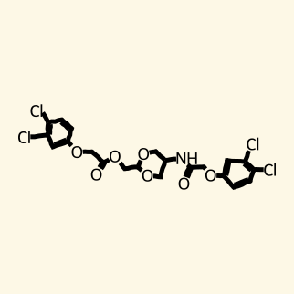 O=C(COc1ccc(Cl)c(Cl)c1)NC1COC(COC(=O)COc2ccc(Cl)c(Cl)c2)OC1